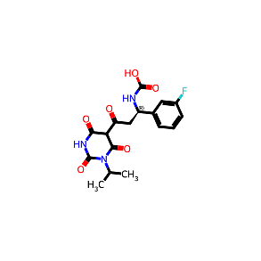 CC(C)N1C(=O)NC(=O)C(C(=O)C[C@@H](NC(=O)O)c2cccc(F)c2)C1=O